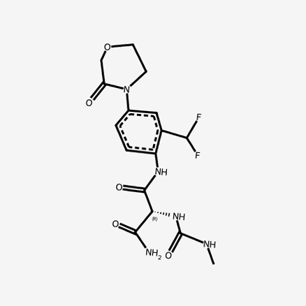 CNC(=O)N[C@H](C(N)=O)C(=O)Nc1ccc(N2CCOCC2=O)cc1C(F)F